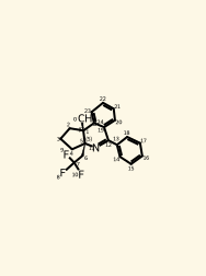 C[C@]12CCC[C@@]1(CC(F)(F)F)N=C(c1ccccc1)c1ccccc12